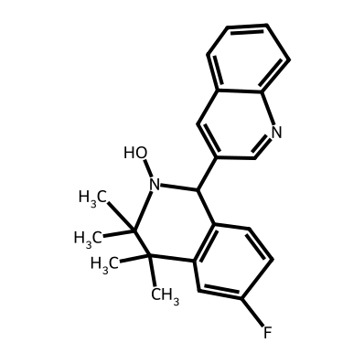 CC1(C)c2cc(F)ccc2C(c2cnc3ccccc3c2)N(O)C1(C)C